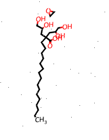 C1CO1.CCCCCCCCCCCCCCCCC(CC(O)CO)(CC(O)CO)C(=O)O